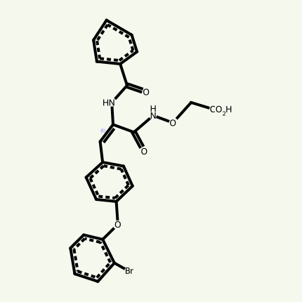 O=C(O)CONC(=O)/C(=C\c1ccc(Oc2ccccc2Br)cc1)NC(=O)c1ccccc1